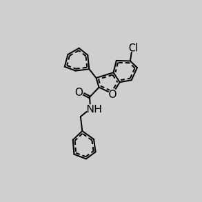 O=C(NCc1ccccc1)c1oc2ccc(Cl)cc2c1-c1ccccc1